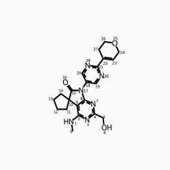 CNc1nc(CO)nc2c1C1(CCCC1)C(=O)N2c1cnc(C2=CCOCC2)nc1